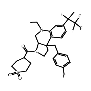 CCN1CC2N(C(=O)C3CCS(=O)(=O)CC3)CCC2(Cc2ccc(F)cc2)c2ccc(C(C)(F)C(F)(F)F)cc21